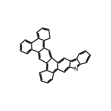 C1=CCc2c(c3ccccc3c3cc4c5ccccc5c5cc6c(cc5c4cc23)=c2ccccc2=N6)=C1